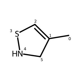 CC1=CSNC1